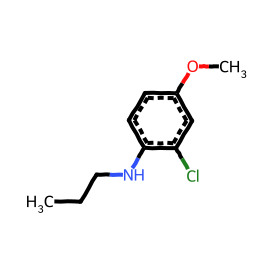 CCCNc1ccc(OC)cc1Cl